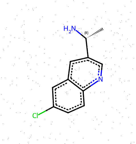 C[C@@H](N)c1cnc2ccc(Cl)cc2c1